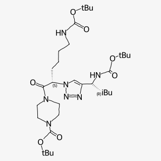 CC[C@@H](C)C(NC(=O)OC(C)(C)C)c1cn([C@@H](CCCCNC(=O)OC(C)(C)C)C(=O)N2CCN(C(=O)OC(C)(C)C)CC2)nn1